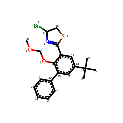 COCOc1c(C2=NC(Br)CS2)cc(C(C)(C)C)cc1-c1ccccc1